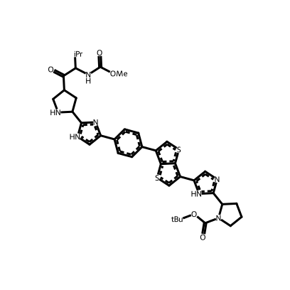 COC(=O)NC(C(=O)C1CNC(c2nc(-c3ccc(-c4csc5c(-c6cnc(C7CCCN7C(=O)OC(C)(C)C)[nH]6)csc45)cc3)c[nH]2)C1)C(C)C